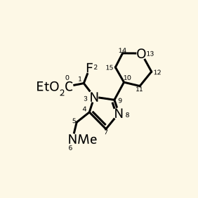 CCOC(=O)C(F)n1c(CNC)cnc1C1CCOCC1